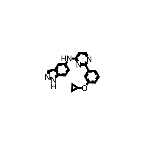 c1cc(OC2CC2)cc(-c2nccc(Nc3ccc4[nH]ncc4c3)n2)c1